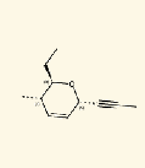 CC#C[C@@H]1C=C[C@H](C)[C@@H](CC)O1